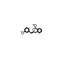 COC(=O)c1ccccc1CC=Cc1cccc(OC)c1